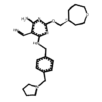 N=Cc1c(N)nc(OC[C@H]2CCCOCC2)nc1NCc1ccc(CN2CCCC2)cc1